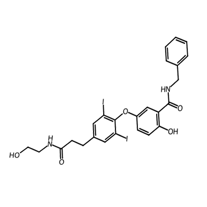 O=C(CCc1cc(I)c(Oc2ccc(O)c(C(=O)NCc3ccccc3)c2)c(I)c1)NCCO